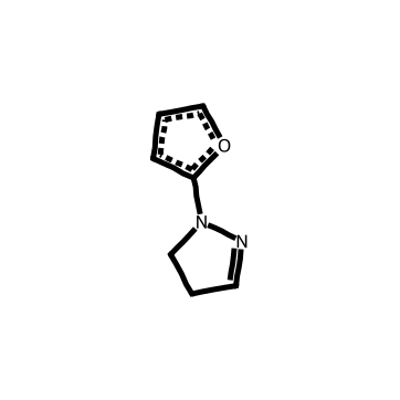 C1=NN(c2ccco2)CC1